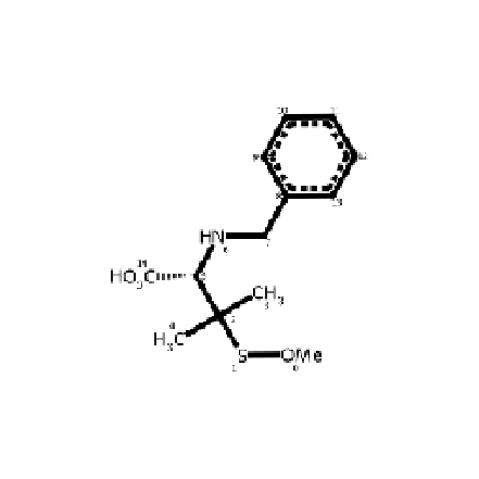 COSC(C)(C)[C@@H](NCc1ccccc1)C(=O)O